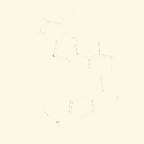 CCCc1nn(C)c2c(=O)[nH]c(-c3cc(C(O)c4ccc(C(=O)NO)cc4)ccc3OCC)nc12